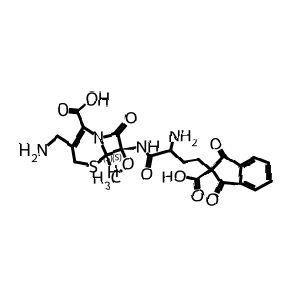 CO[C@@]1(NC(=O)C(N)CCC2(C(=O)O)C(=O)c3ccccc3C2=O)C(=O)N2C(C(=O)O)=C(CN)CS[C@H]21